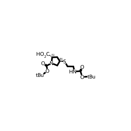 CC(C)(C)OC(=O)NCCS[C@@H]1C[C@@H](C(=O)O)N(C(=O)OC(C)(C)C)C1